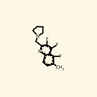 Cc1ccc2nc(CN3CCCC3)c(F)c(F)c2c1F